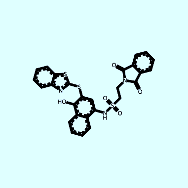 O=C1c2ccccc2C(=O)N1CCS(=O)(=O)Nc1cc(Sc2nc3ccccc3s2)c(O)c2ccccc12